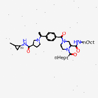 C=C(c1ccc(C(=O)N2CCN(C(=O)CCCCCCC)C(C(=O)NCCCCCCCC)C2)cc1)N1CCC(C(=O)N[C@H]2CC2C)C1